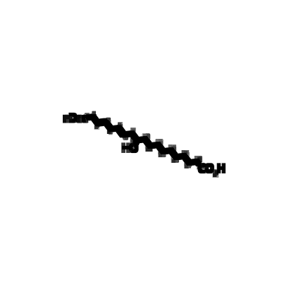 CCCCCCCCCCCC=CCC=CCC(O)CCCCCCCCCC(=O)O